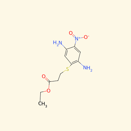 CCOC(=O)CCSc1cc(N)c([N+](=O)[O-])cc1N